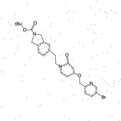 CC(C)(C)OC(=O)N1Cc2ccc(CCn3ccc(OCc4ccc(Br)cn4)cc3=O)cc2C1